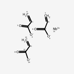 C=CC(=O)[O-].C=CC(=O)[O-].C=CC(=O)[O-].[Nb+3]